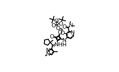 Cc1cn(C)nc1[C@H](Nc1c(Nc2ccnc(C(=O)N(C)C)c2OCOP(=O)(OC(C)(C)C)OC(C)(C)C)c(=O)c1=O)C1(C)CCCC1